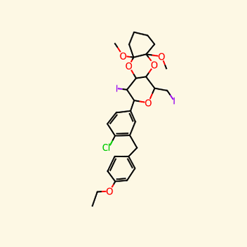 CCOc1ccc(Cc2cc(C3OC(CI)C4OC5(OC)CCCCC5(OC)OC4C3I)ccc2Cl)cc1